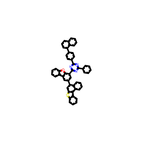 c1ccc(-c2nc(-c3ccc(-c4cccc5ccccc45)cc3)nc(-c3cc(-c4cc5sc6ccccc6c5c5ccccc45)cc4c3oc3ccccc34)n2)cc1